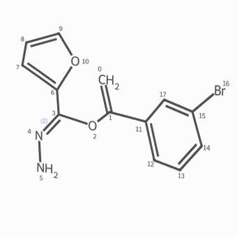 C=C(O/C(=N\N)c1ccco1)c1cccc(Br)c1